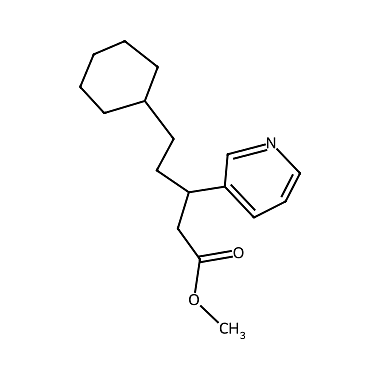 COC(=O)CC(CCC1CCCCC1)c1cccnc1